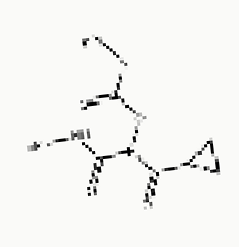 CCCNC(=O)ON(C(=O)NCCC)C(=O)C1CC1